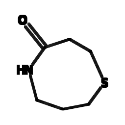 O=C1CCSCCCN1